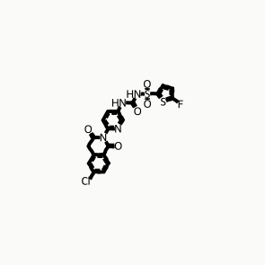 O=C(Nc1ccc(N2C(=O)Cc3cc(Cl)ccc3C2=O)nc1)NS(=O)(=O)c1ccc(F)s1